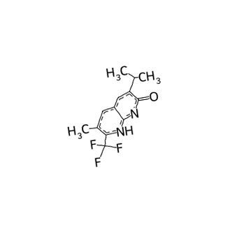 Cc1cc2cc(C(C)C)c(=O)nc-2[nH]c1C(F)(F)F